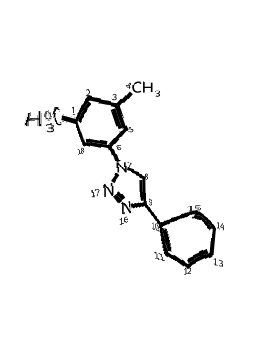 Cc1cc(C)cc(-n2cc(-c3ccccc3)nn2)c1